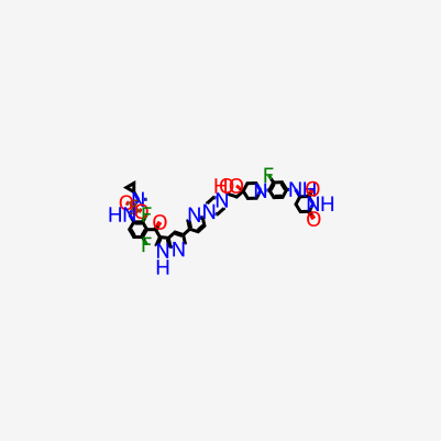 CN(C1CC1)S(=O)(=O)Nc1ccc(F)c(C(=O)c2c[nH]c3ncc(-c4ccc(N5CCN(C(=O)CC6(O)CCN(c7ccc(NC8CCC(=O)NC8=O)cc7F)CC6)CC5)nc4)cc23)c1F